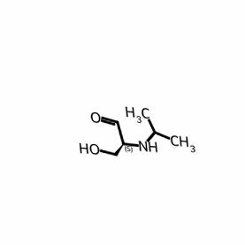 CC(C)N[C@H](C=O)CO